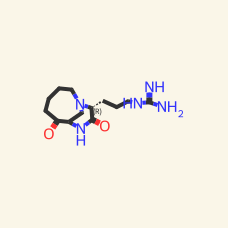 N=C(N)NCCC[C@@H]1C(=O)NC2CN1CCCCC2=O